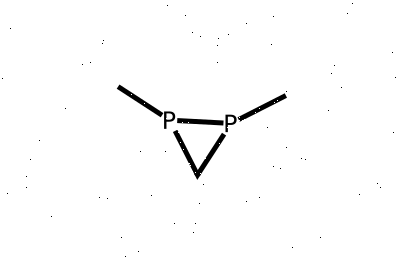 CP1CP1C